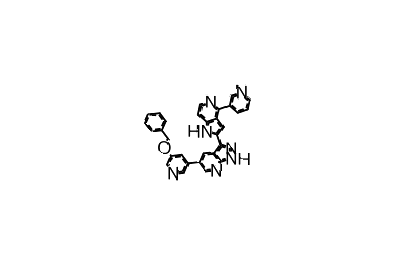 c1ccc(COc2cncc(-c3cnc4[nH]nc(-c5cc6c(-c7cccnc7)nccc6[nH]5)c4c3)c2)cc1